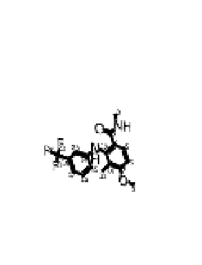 CNC(=O)c1ccc(OC)c(C)c1Nc1cccc(C(F)(F)F)c1